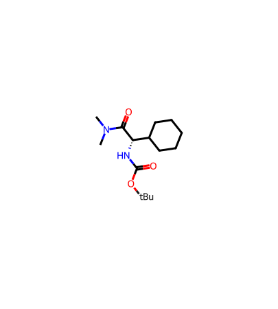 CN(C)C(=O)[C@@H](NC(=O)OC(C)(C)C)C1CCCCC1